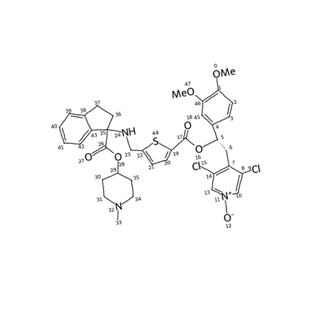 COc1ccc([C@H](Cc2c(Cl)c[n+]([O-])cc2Cl)OC(=O)c2ccc(CNC3(C(=O)OC4CCN(C)CC4)CCc4ccccc43)s2)cc1OC